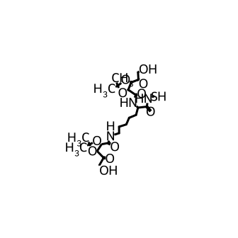 CC1(C)OC(C(=O)CO)C(C(=O)NCCCCCC(NC(=O)C2OC(C)(C)OC2C(=O)CO)C(=O)NS)O1